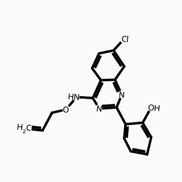 C=CCONc1nc(-c2ccccc2O)nc2cc(Cl)ccc12